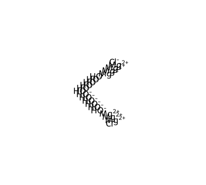 [Cl-].[Cl-].[Mg+2].[Mg+2].[Mg+2].[Mg+2].[Mg+2].[Mg+2].[Mg+2].[OH-].[OH-].[OH-].[OH-].[OH-].[OH-].[OH-].[OH-].[OH-].[OH-].[OH-].[OH-]